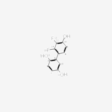 Oc1ccc(O)c(-c2ccc(O)c(F)c2F)c1